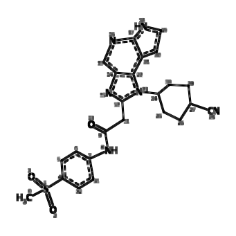 CS(=O)(=O)c1ccc(NC(=O)Cc2nc3cnc4[nH]ccc4c3n2C2CCC(C#N)CC2)cc1